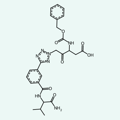 CC(C)C(NC(=O)c1cccc(-c2nnn(CC(=O)C(CC(=O)O)NC(=O)OCc3ccccc3)n2)c1)C(N)=O